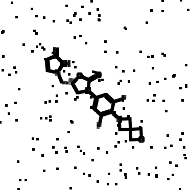 O=C1O[C@@H](CN2C=CNN2)CN1c1cc(F)c(N2CC3(COC3)C2)c(F)c1